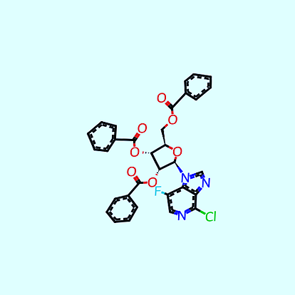 O=C(OC[C@H]1O[C@@H](n2cnc3c(Cl)ncc(F)c32)[C@H](OC(=O)c2ccccc2)[C@@H]1OC(=O)c1ccccc1)c1ccccc1